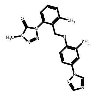 Cc1cc(-n2cncn2)ccc1OCc1c(C)cccc1-n1nnn(C)c1=O